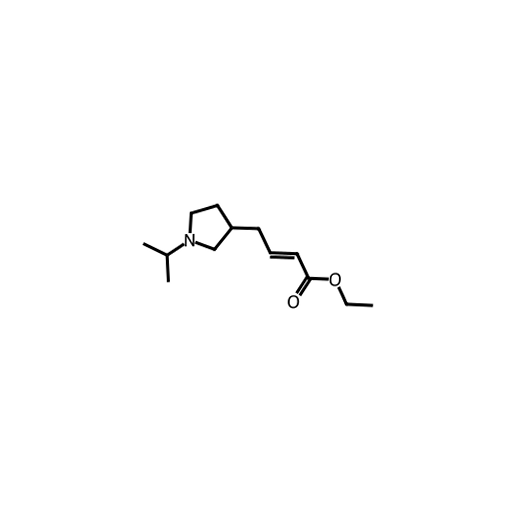 CCOC(=O)/C=C/CC1CCN(C(C)C)C1